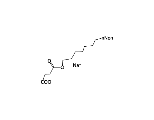 CCCCCCCCCCCCCCCCOC(=O)/C=C/C(=O)[O-].[Na+]